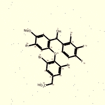 COc1cc(C(O)c2ccc(F)c(F)c2F)c(Oc2c(Br)cc(CC(=O)O)cc2Br)cc1C(C)C